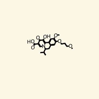 COCCCOc1cc2c(cc1OC)-c1c(O)c(=O)c(C(=O)O)cn1C(C(C)C)C2